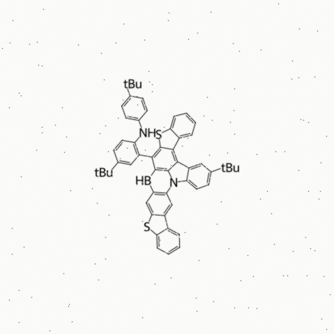 CC(C)(C)c1ccc(Nc2ccc(C(C)(C)C)cc2-c2c3c4c(c5cc(C(C)(C)C)ccc5n4-c4cc5c(cc4B3)sc3ccccc35)c3c2sc2ccccc23)cc1